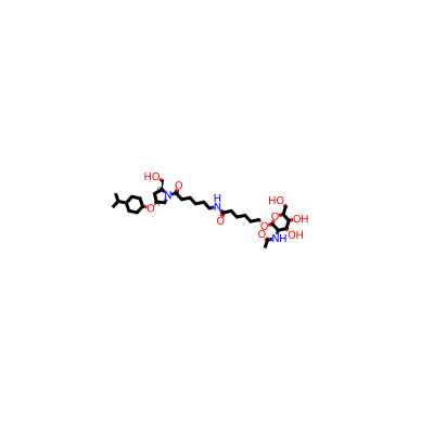 CC(=O)NC1C(OCCCCCC(=O)NCCCCCC(=O)N2C[C@H](OC3CCC(C(C)C)CC3)C[C@H]2CO)OC(CO)C(O)C1O